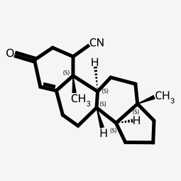 C[C@@]12CCC[C@H]1[C@@H]1CCC3=CC(=O)CC(C#N)[C@]3(C)[C@H]1CC2